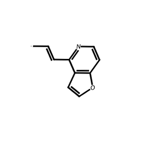 [CH2]C=Cc1nccc2occc12